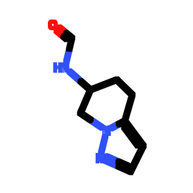 O=CNC1CCc2ccnn2C1